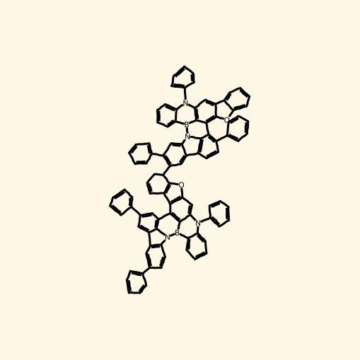 C1=Cc2c(oc3cc4c5c(c23)-c2cc(-c3ccccc3)cc3c6cc(-c7ccccc7)ccc6n(c23)B5c2ccccc2N4c2ccccc2)C(c2cc3c4ccc(-c5ccccc5)c5c4n(c3cc2-c2ccccc2)B2c3ccccc3N(c3ccccc3)c3cc4c(oc6ccccc64)c-5c32)C1